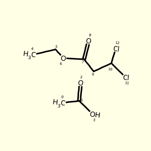 CC(=O)O.CCOC(=O)CC(Cl)Cl